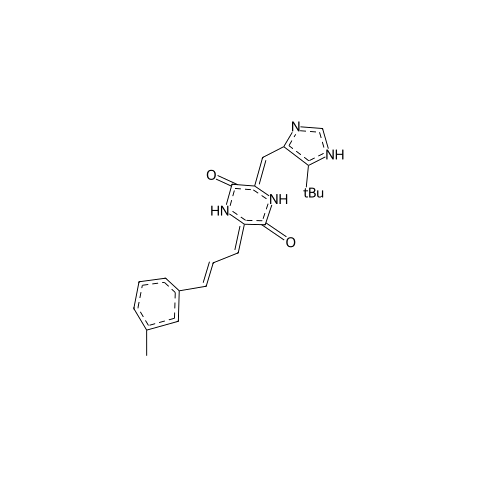 Cc1cccc(/C=C/C=c2\[nH]c(=O)/c(=C/c3nc[nH]c3C(C)(C)C)[nH]c2=O)c1